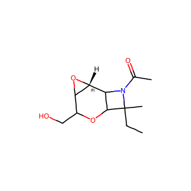 CCC1(C)C2OC(CO)C3O[C@@H]3C2N1C(C)=O